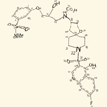 CNS(=O)(=O)c1cccc(OCC(O)CN(C(=O)O)C2COC3(CCN(S(=O)(=O)c4cnc5cc(F)ccc5c4O)CC3)C2)c1